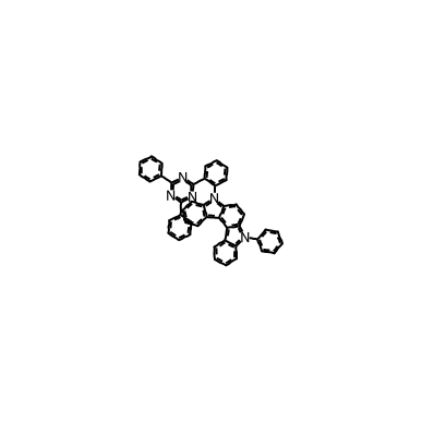 c1ccc(-c2nc(-c3ccccc3)nc(-c3ccccc3-n3c4ccccc4c4c5c6ccccc6n(-c6ccccc6)c5ccc43)n2)cc1